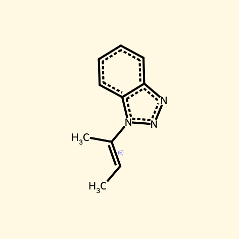 C/C=C(\C)n1nnc2ccccc21